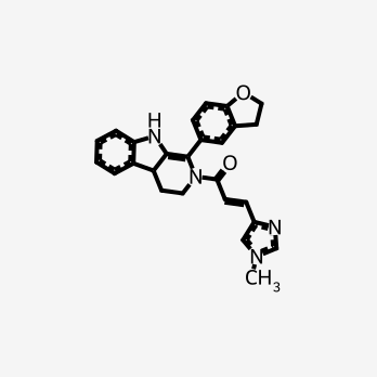 Cn1cnc(/C=C/C(=O)N2CCC3C(=C2c2ccc4c(c2)CCO4)Nc2ccccc23)c1